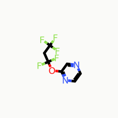 FC(F)(F)CC(F)(F)Oc1cnccn1